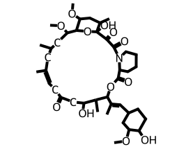 COC1CC(/C=C(\C)C2OC(=O)C3CCCCN3C(=O)C(=O)C3(O)OC(C(OC)CC(C)C/C(C)=C\CC(=O)CC(O)C2C)C(OC)CC3C)CCC1O